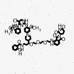 COc1cc(N2CCC(C(CCNC(=O)c3ccccc3O)OCCOCCOCCNc3cccc4c3C(=O)N(C3CCC(=O)NC3=O)C4=O)CC2)ccc1Nc1ncc(Cl)c(Nc2ccccc2P(C)(C)=O)n1